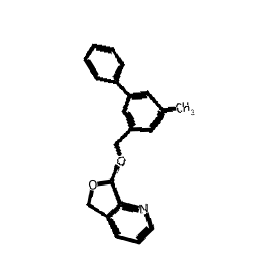 Cc1cc(COC2OCc3cccnc32)cc(-c2ccccc2)c1